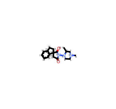 CC1CN(C)CCN1N1C(=O)CC2(CCc3ccccc32)C1=O